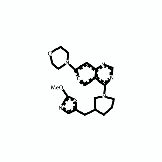 COc1ncc(CC2CCCN(c3ncnc4cc(N5CCOCC5)ccc34)C2)s1